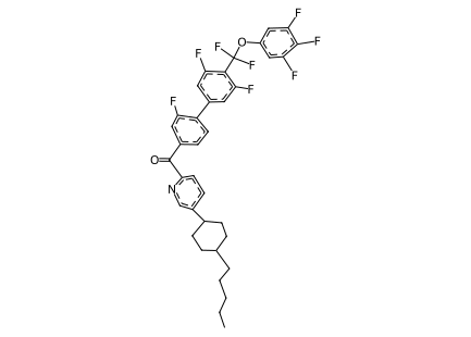 CCCCCC1CCC(c2ccc(C(=O)c3ccc(-c4cc(F)c(C(F)(F)Oc5cc(F)c(F)c(F)c5)c(F)c4)c(F)c3)nc2)CC1